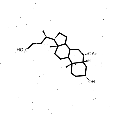 CC(=O)O[C@H]1CC2C3CC[C@H]([C@H](C)CCC(=O)O)[C@@]3(C)CCC2[C@@]2(C)CC[C@@H](O)C[C@@H]12